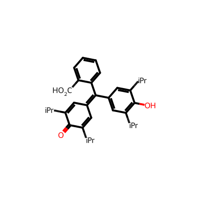 CC(C)C1=CC(=C(c2cc(C(C)C)c(O)c(C(C)C)c2)c2ccccc2C(=O)O)C=C(C(C)C)C1=O